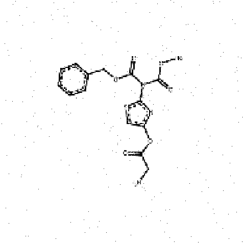 CC(C)(C)OC(=O)N(C(=O)OCc1ccccc1)c1nc(OC(=O)CN)cs1